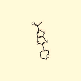 CC(=O)c1cc2sc(N3CCCCC3)nc2s1